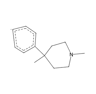 CN1CCC(C)(c2cc[c]cc2)CC1